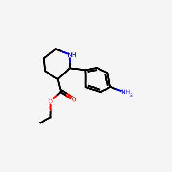 CCOC(=O)C1CCCNC1c1ccc(N)cc1